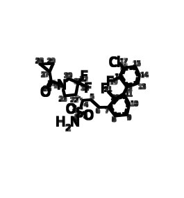 NS(=O)(=O)C(CCc1cccc(-c2cccc(Cl)c2F)c1F)[C@@H]1CN(C(=O)C2CC2)CC1(F)F